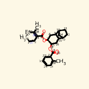 C/C=C\C(C(=O)OC1CC2C3CCC(C3)C2CC1OC(=O)c1ccccc1C)=C(\C)CC